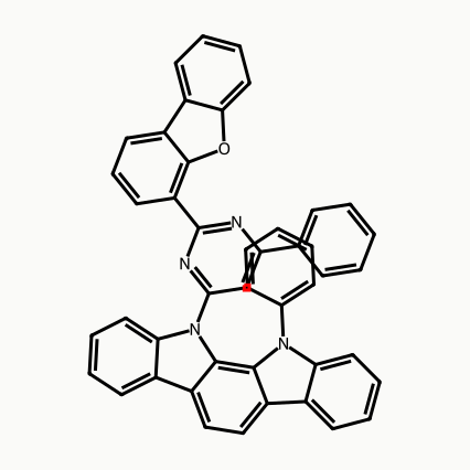 c1ccc(-c2cc(-n3c4ccccc4c4ccc5c6ccccc6n(-c6ccccc6)c5c43)nc(-c3cccc4c3oc3ccccc34)n2)cc1